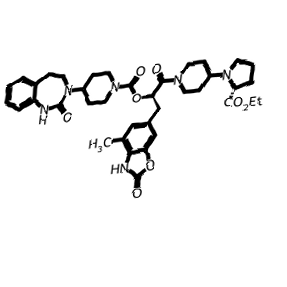 CCOC(=O)[C@H]1CCCN1C1CCN(C(=O)[C@@H](Cc2cc(C)c3[nH]c(=O)oc3c2)OC(=O)N2CCC(N3CCc4ccccc4NC3=O)CC2)CC1